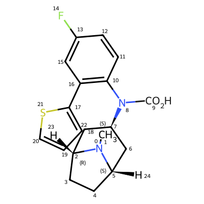 CN1[C@@H]2CC[C@H]1C[C@H](N(C(=O)O)c1ccc(F)cc1-c1cccs1)C2